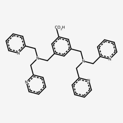 O=C(O)c1cc(CN(Cc2ccccn2)Cc2ccccn2)cc(CN(Cc2ccccn2)Cc2ccccn2)c1